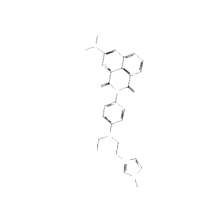 CCN(CC[n+]1ccn(C)c1)c1ccc(N2C(=O)c3cccc4cc(N(C)C)cc(c34)C2=O)cc1.[Br-]